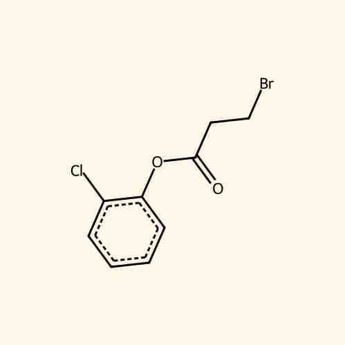 O=C(CCBr)Oc1ccccc1Cl